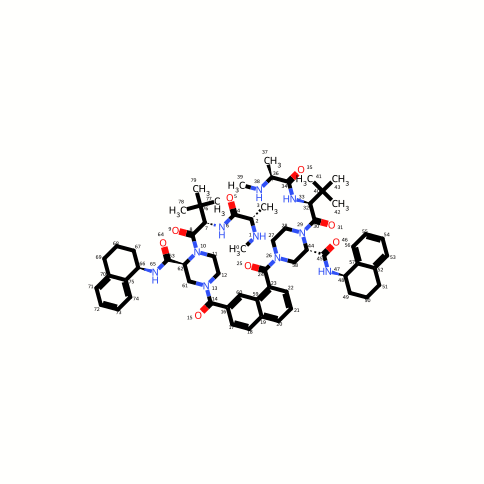 CN[C@@H](C)C(=O)N[C@H](C(=O)N1CCN(C(=O)c2ccc3cccc(C(=O)N4CCN(C(=O)[C@@H](NC(=O)[C@H](C)NC)C(C)(C)C)[C@H](C(=O)N[C@@H]5CCCc6ccccc65)C4)c3c2)C[C@H]1C(=O)N[C@@H]1CCCc2ccccc21)C(C)(C)C